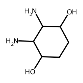 NC1C(O)CCC(O)C1N